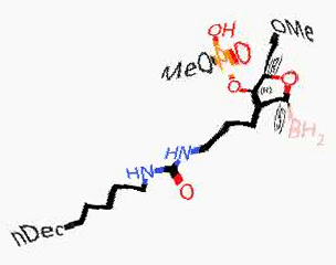 B[C@@H]1O[C@H](COC)[C@H](OP(=O)(O)OC)C1CCCNC(=O)NCCCCCCCCCCCCCCC